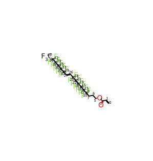 C=CC(=O)OCCCC(F)(F)C(F)(F)C(F)(F)C(F)(F)C(F)(F)C(F)(F)C=CC(F)(F)C(F)(F)C(F)(F)C(F)(F)C(F)(F)C(F)(F)F